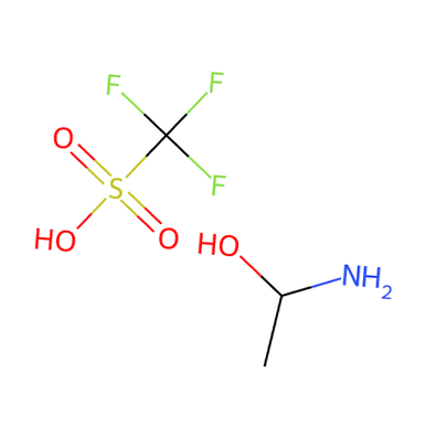 CC(N)O.O=S(=O)(O)C(F)(F)F